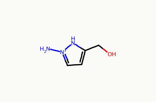 N[n+]1ccc(CO)[nH]1